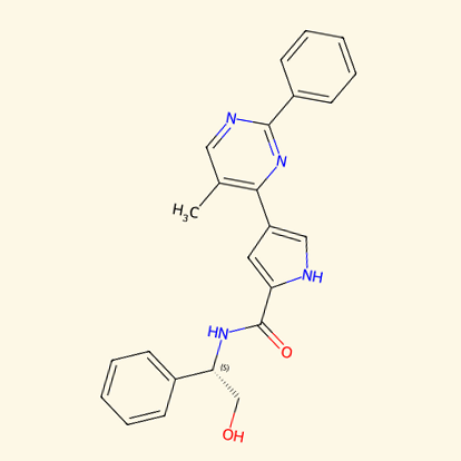 Cc1cnc(-c2ccccc2)nc1-c1c[nH]c(C(=O)N[C@H](CO)c2ccccc2)c1